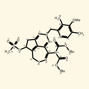 COc1c(C)cnc(CN2N=C3CC(OS(C)(=O)=O)C4=C3C(=N2)C(N(C(=O)OC(C)(C)C)C(=O)OC(C)(C)C)=NSC4)c1C